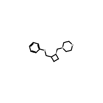 c1ccc(OCC2CC[C@@H]2CN2CCOCC2)cc1